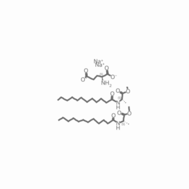 CCCCCCCCCCCC(=O)N[C@@H](C)C(=O)OC.CCCCCCCCCCCC(=O)N[C@@H](C)C(=O)OC.N[C@@H](CCC(=O)[O-])C(=O)[O-].[Na+].[Na+]